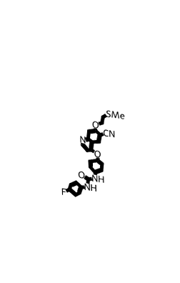 CSCCOc1cc2nccc(Oc3ccc(NC(=O)Nc4ccc(F)cc4)cc3)c2cc1C#N